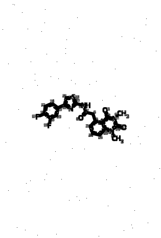 Cn1c(=O)c2c(CC(=O)Nc3nc(-c4ccc(F)c(F)c4)cs3)cccc2n(C)c1=O